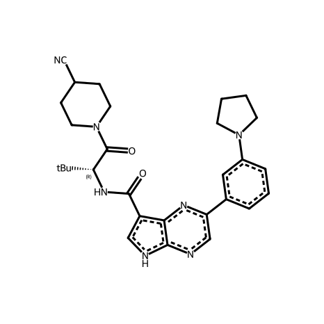 CC(C)(C)[C@@H](NC(=O)c1c[nH]c2ncc(-c3cccc(N4CCCC4)c3)nc12)C(=O)N1CCC(C#N)CC1